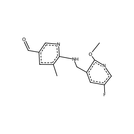 COc1ncc(F)cc1CNc1ncc(C=O)cc1C